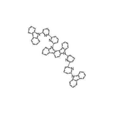 c1cc(-c2cccc(-n3c4ccccc4c4c3ccc3c5ccccc5n(-c5cccc(-c6cccc(-n7c8ccccc8c8ccccc87)n6)n5)c34)n2)nc(-n2c3ccccc3c3ccccc32)c1